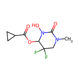 CN1CC(F)(F)C(OC(=O)C2CC2)N(O)C1=O